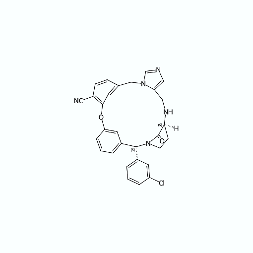 N#Cc1ccc2cc1Oc1cccc(c1)[C@@H](c1cccc(Cl)c1)N1CC[C@H](NCc3cncn3C2)C1=O